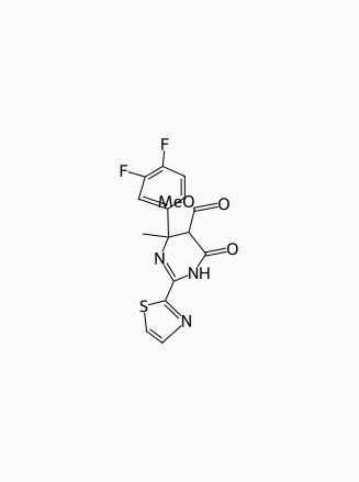 COC(=O)C1C(=O)NC(c2nccs2)=NC1(C)c1ccc(F)c(F)c1